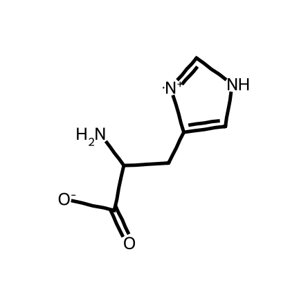 NC(CC1=CNC=[N+]1)C(=O)[O-]